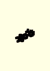 CCN(CC)S(=O)(=O)c1ccc(-c2ccnnc2C(C)C)cc1